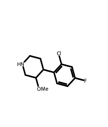 COC1CNCCC1c1ccc(F)cc1Cl